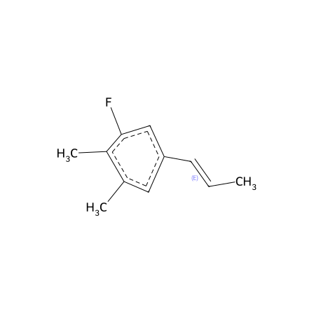 C/C=C/c1cc(C)c(C)c(F)c1